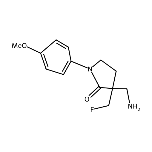 COc1ccc(N2CCC(CN)(CF)C2=O)cc1